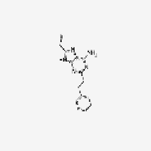 Nc1nc(CCc2ccccc2)nc2[nH]c(CBr)nc12